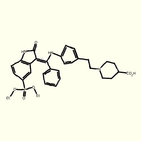 CCOP(=O)(OCC)c1ccc2c(c1)/C(=C(/Nc1ccc(CCN3CCC(C(=O)O)CC3)cc1)c1ccccc1)C(=O)N2